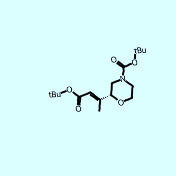 C/C(=C\C(=O)OC(C)(C)C)[C@@H]1CN(C(=O)OC(C)(C)C)CCO1